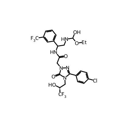 CCOC(O)NCC(NC(=O)Cn1nc(-c2ccc(Cl)cc2)n(C[C@H](O)C(F)(F)F)c1=O)c1cccc(C(F)(F)F)c1